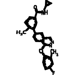 Cc1cc(F)ccc1Oc1nncc2cc(-c3cc(C(=O)NC4CC4)ccc3C)ccc12